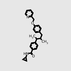 CC(Cc1ccc(OCc2ccccn2)cc1)C(C)c1ccc(C(=O)NC2CC2)cc1